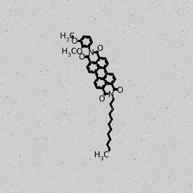 CCCCCCCCCCCCN1C(=O)c2ccc3c4ccc5c6c(ccc(c7ccc(c2c37)C1=O)c64)C(=O)N(c1cccc(OC)c1OC)C5=O